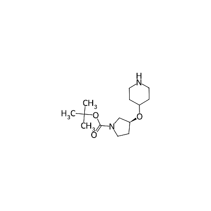 CC(C)(C)OC(=O)N1CC[C@H](OC2CCNCC2)C1